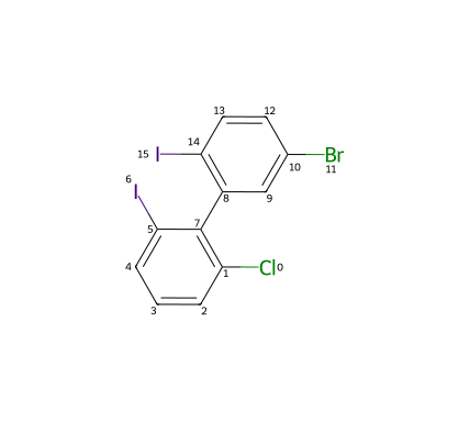 Clc1cccc(I)c1-c1cc(Br)ccc1I